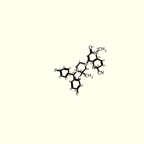 Cn1c(=O)cc(N2CCN(C(c3ccc(F)cc3)c3ccc(F)cc3)C(C)(C)C2)c2nc(C#N)ccc21